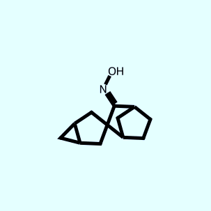 ON=C1C2CCC(C2)C12CC1CC1C2